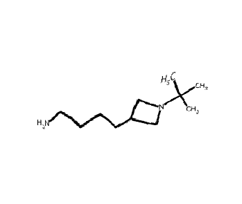 CC(C)(C)N1CC(CCCCN)C1